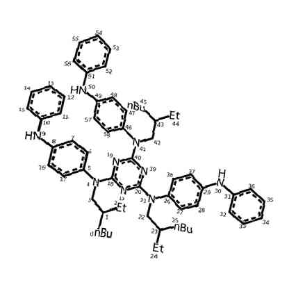 CCCCC(CC)CN(c1ccc(Nc2ccccc2)cc1)c1nc(N(CC(CC)CCCC)c2ccc(Nc3ccccc3)cc2)nc(N(CC(CC)CCCC)c2ccc(Nc3ccccc3)cc2)n1